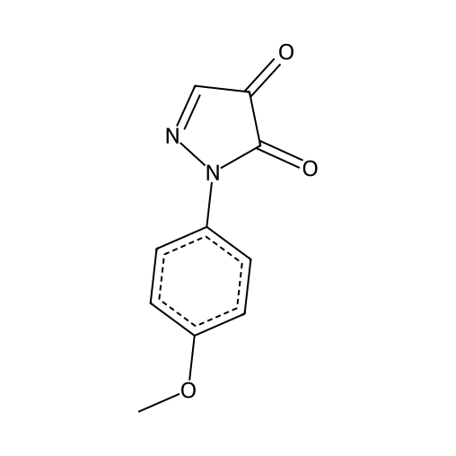 COc1ccc(N2N=CC(=O)C2=O)cc1